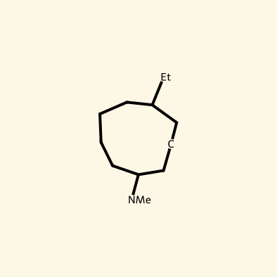 CCC1CCCCC(NC)CCC1